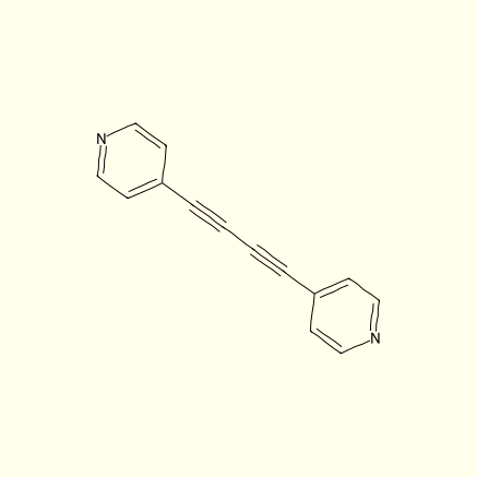 C(C#Cc1ccncc1)#Cc1ccncc1